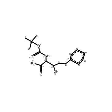 CC(C)(C)OC(=O)NC(C(=O)O)C(O)CCc1ccccc1